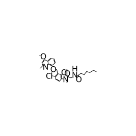 CCCCCCC(=O)NCC(=O)N(C)c1ccc(Cl)c(COc2cccc3c(OC)cc(C)nc23)c1Cl